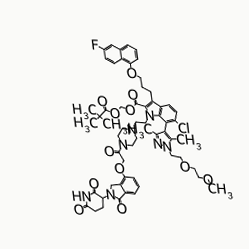 COCCOCCn1nc(C)c(-c2c(Cl)ccc3c(CCCOc4cccc5cc(F)ccc45)c(C(=O)OCOC(=O)C(C)(C)C)n(CCN4CCN(C(=O)COc5cccc6c5CN(C5CCC(=O)NC5=O)C6=O)CC4)c23)c1C